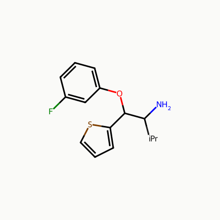 CC(C)C(N)C(Oc1cccc(F)c1)c1cccs1